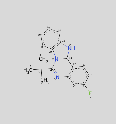 CC(C)(C)C1=Nc2cc(F)ccc2C2Nc3ccccc3N12